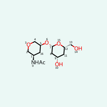 CC(=O)N[C@H]1COC[C@@H](O[C@H]2C[C@@H](O)C[C@@H](CO)O2)C1